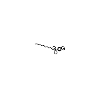 CCCCCCCCCCCOC(=O)c1ccc(OC)cc1